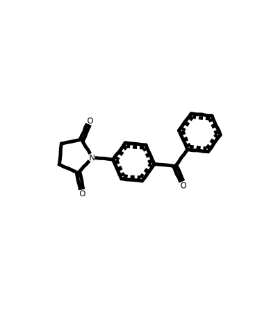 O=C(c1ccccc1)c1ccc(N2C(=O)CCC2=O)cc1